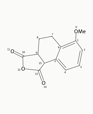 COc1cccc2c1CCC1C(=O)OC(=O)C21